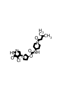 CC(C)CC(=O)N1CCC(NC(=O)O[C@@H]2CCN(c3cn[nH]c(=O)c3Cl)C2)CC1